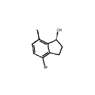 Cc1ccc(Br)c2c1[C@@H](O)CC2